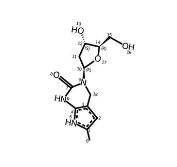 Cc1cc2c([nH]1)NC(=O)N([C@H]1C[C@H](O)[C@@H](CO)O1)C2